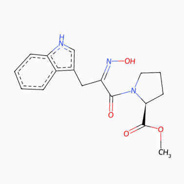 COC(=O)[C@@H]1CCCN1C(=O)C(Cc1c[nH]c2ccccc12)=NO